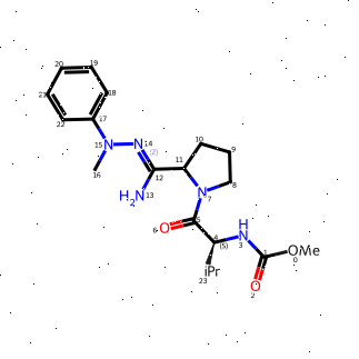 COC(=O)N[C@H](C(=O)N1CCCC1/C(N)=N/N(C)c1ccccc1)C(C)C